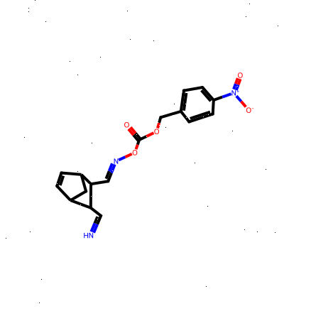 N=CC1C2C=CC(C2)C1C=NOC(=O)OCc1ccc([N+](=O)[O-])cc1